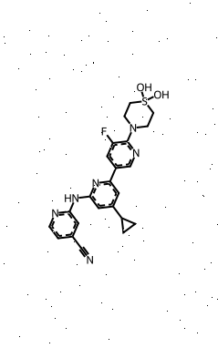 N#Cc1ccnc(Nc2cc(C3CC3)cc(-c3cnc(N4CCS(O)(O)CC4)c(F)c3)n2)c1